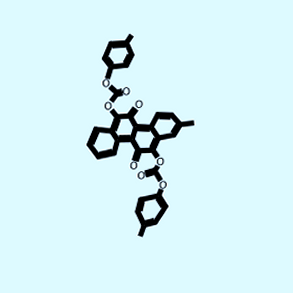 Cc1ccc(OC(=O)OC2=c3ccccc3=C3C(=O)C(OC(=O)Oc4ccc(C)cc4)=c4cc(C)ccc4=C3C2=O)cc1